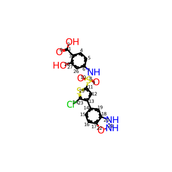 O=C(O)c1ccc(NS(=O)(=O)c2cc(-c3ccc4c(c3)NNO4)c(Cl)s2)cc1O